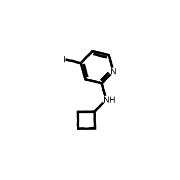 Ic1ccnc(NC2CCC2)c1